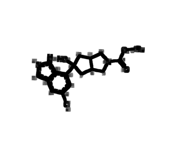 CC(C)(C)OC(=O)N1CC2CC(O)(c3cc(Cl)cc4cn[nH]c34)CC2C1